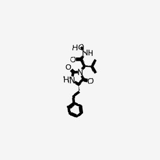 CC(C)[C@H](C(=O)NO)N1C(=O)N[C@@H](CCc2ccccc2)C1=O